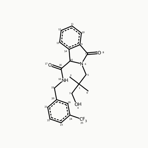 CC(C)(CO)CN1C(=O)c2ccccc2C1C(=O)NCc1cccc(C(F)(F)F)c1